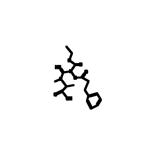 CCOC(=O)N(OC(=O)CCc1ccccc1)C(=N)N(C)C(C)C(=O)O